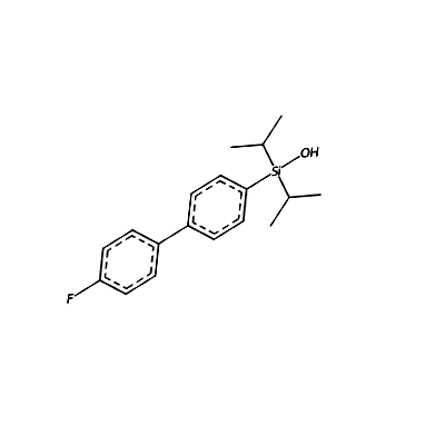 CC(C)[Si](O)(c1ccc(-c2ccc(F)cc2)cc1)C(C)C